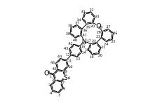 O=c1c2ccccc2sc2cc(-c3ccc(N4c5ccccc5-c5ccccc5Oc5ccccc5-c5ccccc54)cc3)ccc12